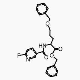 O=C(NC(CCCOCc1ccccc1)C(=O)OCc1ccccc1)c1ccc(F)nc1